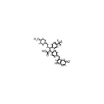 CN1CCN(CCC(c2ccc(C(F)(F)F)nc2)N(C(=O)O)c2ccc(Cc3c[nH]c4ncc(Cl)cc34)cn2)CC1